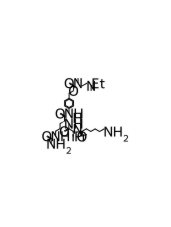 CCN(C)CCN(C)C(=O)OCc1ccc(NC(=O)[C@H](CCCNC(N)=O)NC(=O)[C@@H](NC(=O)CCCCCN)C(C)C)cc1